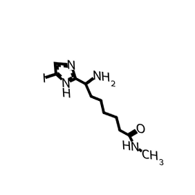 CNC(=O)CCCCCC(N)c1ncc(I)[nH]1